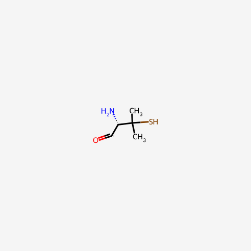 CC(C)(S)[C@@H](N)[C]=O